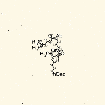 CCCCCCCCCCCCCCCC(NC(=O)OCCCN(C(C)=O)C(=O)OCCN(C)C)C(C)OC